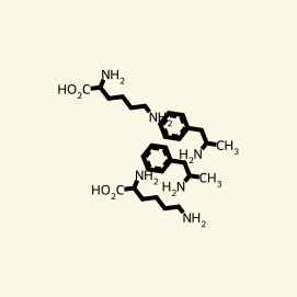 CC(N)Cc1ccccc1.CC(N)Cc1ccccc1.NCCCCC(N)C(=O)O.NCCCCC(N)C(=O)O